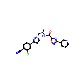 CC(Cn1ccc(-c2ccc(C#N)c(Cl)c2)n1)NC(=O)c1nc(-c2cccnc2)no1